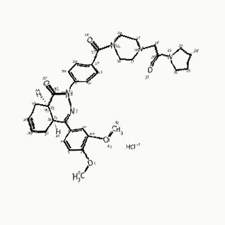 COc1ccc(C2=NN(c3ccc(C(=O)N4CCN(CC(=O)N5CCCC5)CC4)cc3)C(=O)[C@@H]3CC=CC[C@H]23)cc1OC.Cl